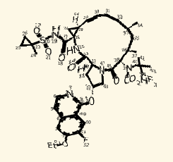 CCOc1cc2ccnc(O[C@@H]3C[C@H]4C(=O)N[C@]5(C(=O)NS(=O)(=O)C6(C)CC6)C[C@H]5/C=C\CC[C@@H](C)C[C@@H](C)[C@H](N(C(=O)O)C(C)(C)C(F)(F)F)C(=O)N4C3)c2cc1F